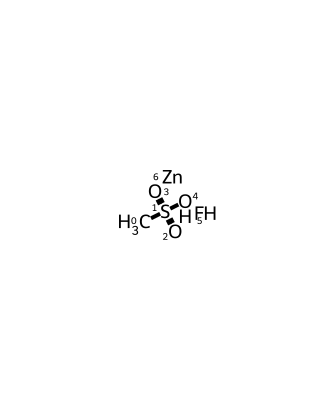 CS(=O)(=O)O.F.[Zn]